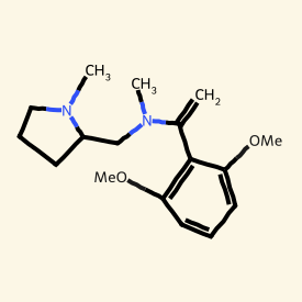 C=C(c1c(OC)cccc1OC)N(C)CC1CCCN1C